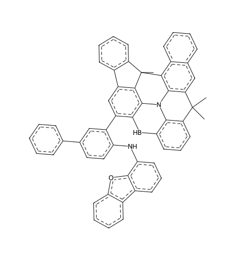 CC1(C)c2cccc3c2N2c4c(c(-c5cc(-c6ccccc6)ccc5Nc5cccc6c5oc5ccccc56)cc5c4C(C)(c4ccccc4-5)c4c2c1cc1ccccc41)B3